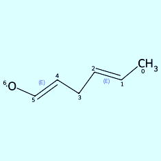 C/C=C/C/C=C/[O]